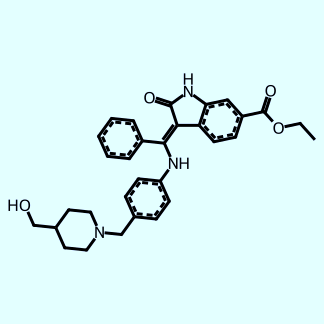 CCOC(=O)c1ccc2c(c1)NC(=O)C2=C(Nc1ccc(CN2CCC(CO)CC2)cc1)c1ccccc1